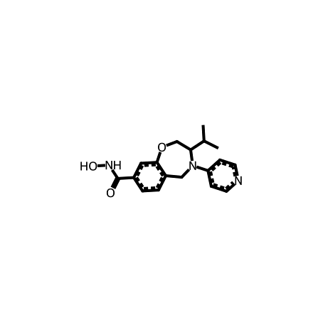 CC(C)C1COc2cc(C(=O)NO)ccc2CN1c1ccncc1